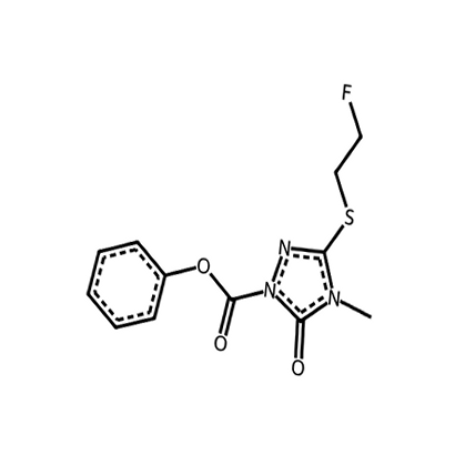 Cn1c(SCCF)nn(C(=O)Oc2ccccc2)c1=O